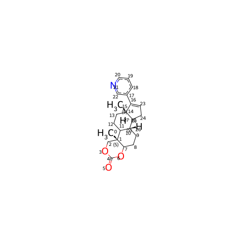 C[C@]12COC(=O)OC1CC[C@@H]1C2CC[C@]2(C)C(c3cccnc3)=CC[C@@H]12